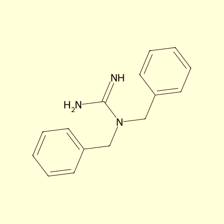 N=C(N)N(Cc1ccccc1)Cc1ccccc1